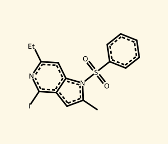 CCc1cc2c(cc(C)n2S(=O)(=O)c2ccccc2)c(I)n1